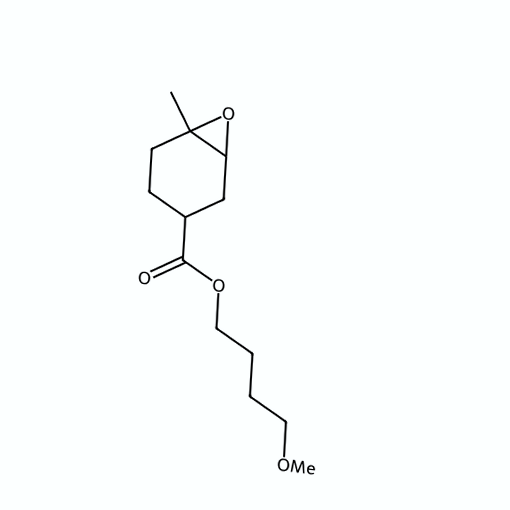 COCCCCOC(=O)C1CCC2(C)OC2C1